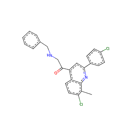 Cc1c(Cl)ccc2c(C(=O)CNCc3ccccc3)cc(-c3ccc(Cl)cc3)nc12